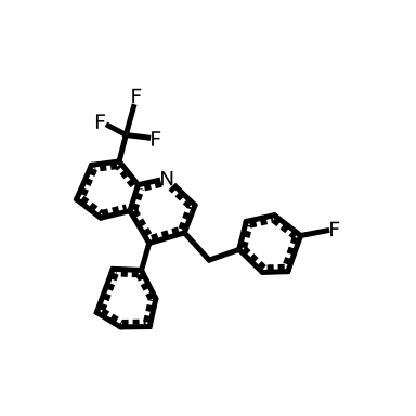 Fc1ccc(Cc2cnc3c(C(F)(F)F)cccc3c2-c2ccccc2)cc1